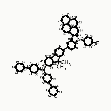 CC1(C)c2cc(-c3ccc4c(c3)c3c5ccc6cccc7ccc(cc3n4-c3ccc(F)cc3)c5c76)ccc2-c2ccc(N(c3ccc(-c4ccccc4)cc3)c3ccc(-c4ccccc4)cc3)cc21